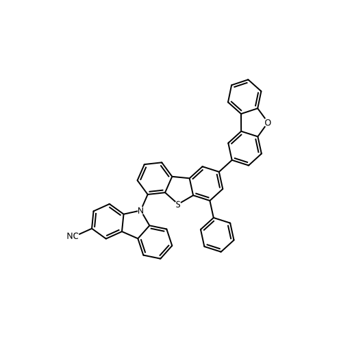 N#Cc1ccc2c(c1)c1ccccc1n2-c1cccc2c1sc1c(-c3ccccc3)cc(-c3ccc4oc5ccccc5c4c3)cc12